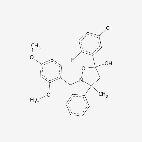 COc1ccc(CN2OC(O)(c3cc(Cl)ccc3F)CC2(C)c2ccccc2)c(OC)c1